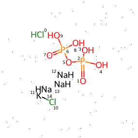 Cl.O=P(O)(O)OP(=O)(O)O.[Cl][K].[NaH].[NaH].[NaH]